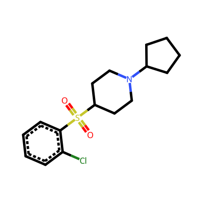 O=S(=O)(c1ccccc1Cl)C1CCN(C2CCCC2)CC1